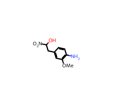 COc1cc(CC(O)[N+](=O)[O-])ccc1N